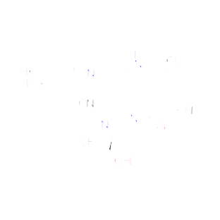 C#C/C=C(\C(C#N)=C/C)N1CCC(Nc2cc(C(=O)N3CCN(CC(F)(F)F)[C@H](CO)C3)c(C)cc2C)CC1